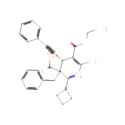 CCOC(=O)C1=C(C)N=C(C2CCC2)C(Cc2ccccc2)(C(=O)O)C1C#Cc1ccccc1